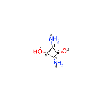 NC1C(=O)C(N)C1O